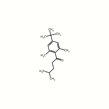 Cc1cc(C(C)(C)C)cc(C)c1C(=O)CCC(C)P